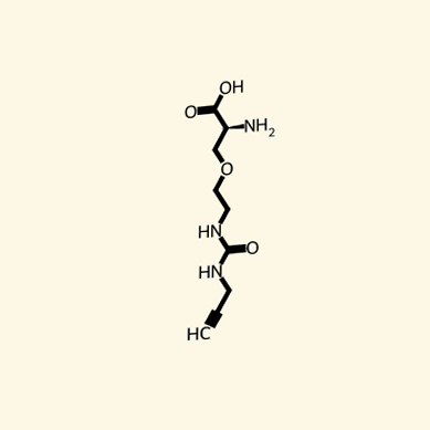 C#CCNC(=O)NCCOC[C@H](N)C(=O)O